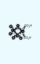 O=C(O)CCCOc1ccc(OCCCC(=O)O)c2c3nc4nc(nc5[nH]c(nc6nc(nc([nH]3)c12)-c1ccccc1-6)c1c(Sc2ccccc2)ccc(Sc2ccccc2)c51)-c1c(Sc2ccccc2)ccc(Sc2ccccc2)c1-4